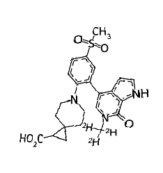 [2H]C([2H])([2H])n1cc(-c2cc(S(C)(=O)=O)ccc2N2CCC3(CC2)CC3C(=O)O)c2cc[nH]c2c1=O